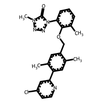 Cc1cc(-c2cc(Cl)ccn2)c(C)cc1COc1c(C)cccc1-n1nnn(C)c1=O